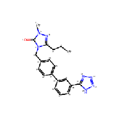 CC(C)CCc1nn(C(C)C)c(=O)n1Cc1ccc(-c2cccc(-c3nnn[nH]3)c2)cc1